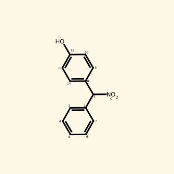 O=[N+]([O-])C(c1ccccc1)c1ccc(O)cc1